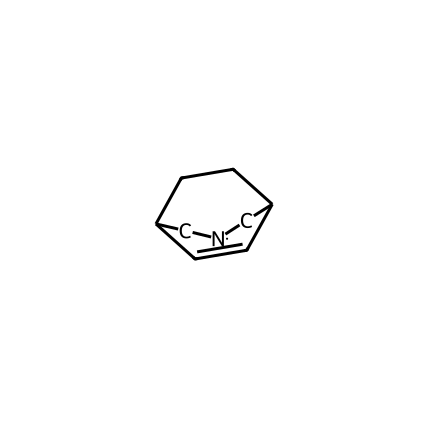 C1=CC2CCC1C[N]C2